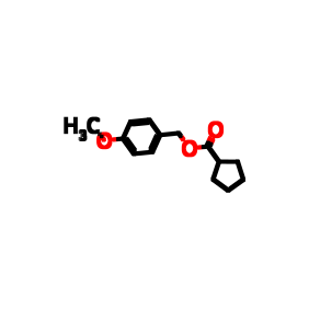 COc1ccc(COC(=O)C2CCCC2)cc1